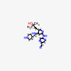 CC(C)(O)C#Cc1cnc(Nc2cnc(C#N)cn2)cc1NCC1CCNCC1